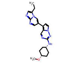 CCc1cnc2ncc(-c3ccn4nc(N[C@H]5CC[C@@H](OC)CC5)ncc34)cn12